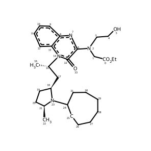 CCOC(=O)CN(CCO)c1nc2ccccc2n([C@@H](C)C[C@@H]2CC[C@H](C)N2C2CCCCCCC2)c1=O